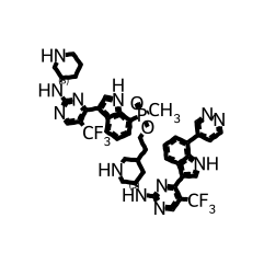 CP(=O)(OCCC1CNC[C@@H](Nc2ncc(C(F)(F)F)c(-c3c[nH]c4c(-c5ccnnc5)cccc34)n2)C1)c1cccc2c(-c3nc(N[C@H]4CCCNC4)ncc3C(F)(F)F)c[nH]c12